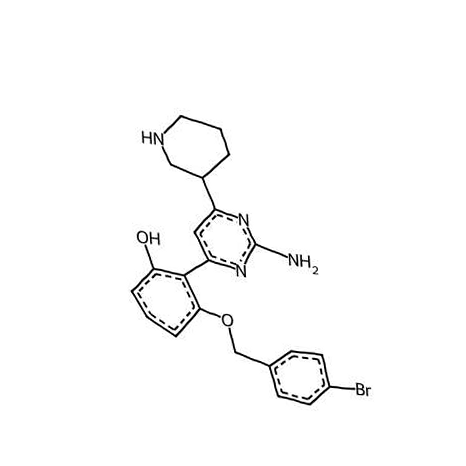 Nc1nc(-c2c(O)cccc2OCc2ccc(Br)cc2)cc(C2CCCNC2)n1